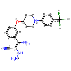 N#C/C(NN)=C(/N)c1cccc(OC2CCN(c3ccc(C(F)(F)F)cc3)CC2)c1